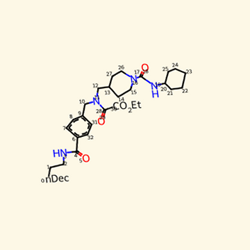 CCCCCCCCCCCCNC(=O)c1ccc(CN(CC2CCN(C(=O)NC3CCCCC3)CC2)C(=O)C(=O)OCC)cc1